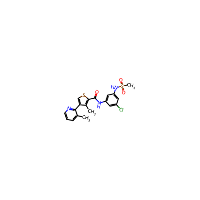 Cc1cccnc1-c1csc(C(=O)Nc2cc(Cl)cc(NS(C)(=O)=O)c2)c1C